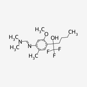 CCCCC(O)(c1cc(C)c(/N=C/N(C)C)cc1OC)C(F)(F)F